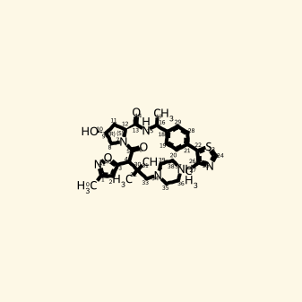 Cc1cc(C(C(=O)N2C[C@H](O)C[C@H]2C(=O)NC(C)c2ccc(-c3scnc3C)cc2)C(C)(C)CN2CCNCC2)on1